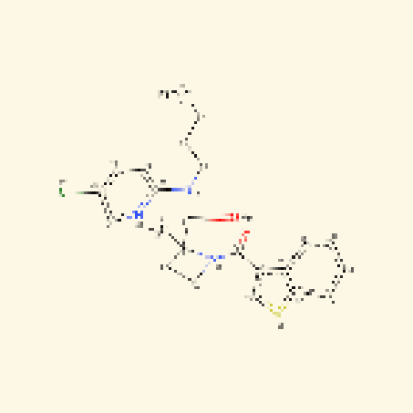 CCOC(=O)CCCN(C(=O)C1(C)CCN1C(=O)c1csc2ccccc12)c1ccc(Cl)cn1